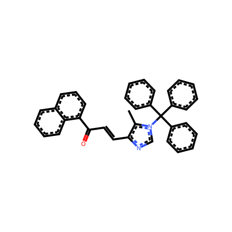 Cc1c(/C=C/C(=O)c2cccc3ccccc23)ncn1C(c1ccccc1)(c1ccccc1)c1ccccc1